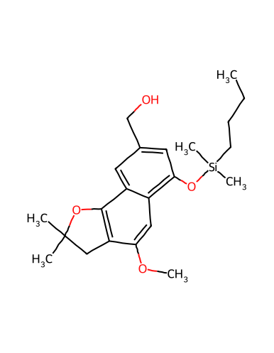 CCCC[Si](C)(C)Oc1cc(CO)cc2c3c(c(OC)cc12)CC(C)(C)O3